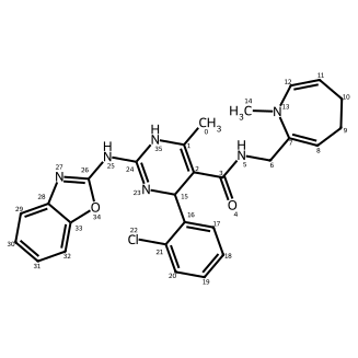 CC1=C(C(=O)NCC2=CCCC=CN2C)C(c2ccccc2Cl)N=C(Nc2nc3ccccc3o2)N1